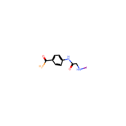 O=C(CNI)Nc1ccc(C(=O)P)cc1